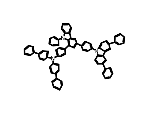 c1ccc(-c2ccc(N(c3ccc(-c4ccccc4)cc3)c3ccc(-c4cc(-c5ccc(-n6c7ccc(-c8ccccc8)cc7c7cc(-c8ccccc8)ccc76)cc5)cc5c6ccccc6n(-c6ccccc6)c45)cc3)cc2)cc1